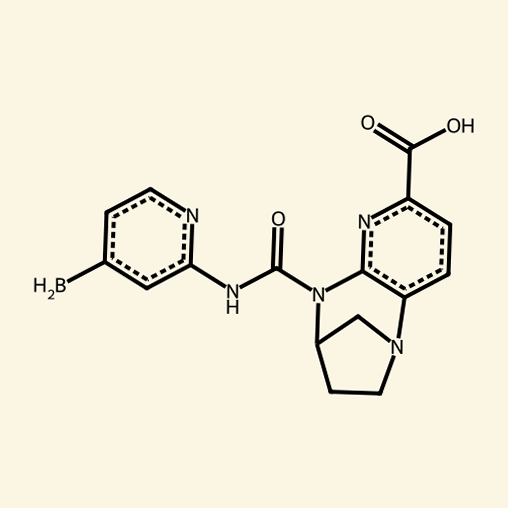 Bc1ccnc(NC(=O)N2c3nc(C(=O)O)ccc3N3CCC2C3)c1